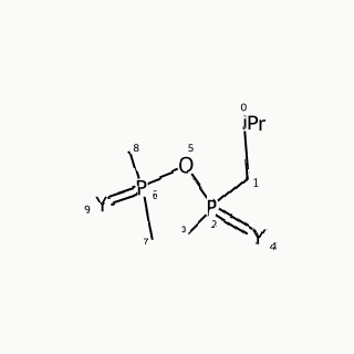 CC(C)C[P](C)(=[Y])O[P](C)(C)=[Y]